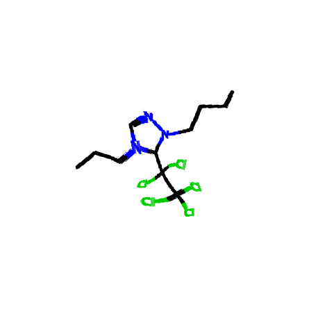 CCCCN1N=CN(CCC)C1C(Cl)(Cl)C(Cl)(Cl)Cl